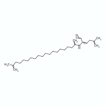 C=C/C(=C\CC(=C)C)NC(=C)CCCCCCCCCCCCCCCCC(=C)C